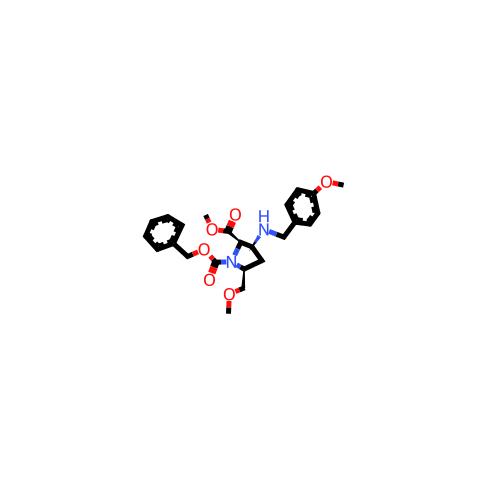 COC[C@@H]1C[C@H](NCc2ccc(OC)cc2)[C@H](C(=O)OC)N1C(=O)OCc1ccccc1